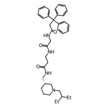 CCC(CC)CN1CCC[C@H](CNC(=O)CCNC(=O)CNC(=O)CC(c2ccccc2)(c2ccccc2)c2ccccc2)C1